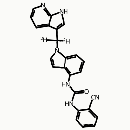 [2H]C([2H])(c1c[nH]c2ncccc12)n1ccc2c(NC(=O)Nc3ccccc3C#N)cccc21